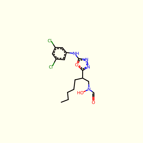 CCCCCC(CN(O)C=O)c1nnc(Nc2cc(Cl)cc(Cl)c2)o1